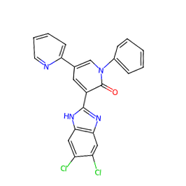 O=c1c(-c2nc3cc(Cl)c(Cl)cc3[nH]2)cc(-c2ccccn2)cn1-c1ccccc1